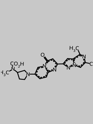 Cc1cn2nc(-c3cc(=O)n4cc(N5CCC(N(C)C(=O)O)C5)ccc4n3)cc2c(C)n1